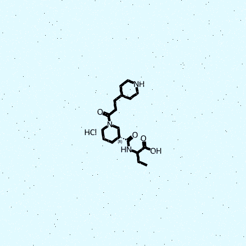 CCC(NC(=O)[C@@H]1CCCN(C(=O)CCC2CCNCC2)C1)C(=O)O.Cl